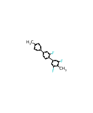 Cc1ccc(-c2ccc(-c3cc(F)c(C)c(F)c3)c(F)c2)cc1